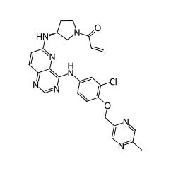 C=CC(=O)N1CC[C@H](Nc2ccc3ncnc(Nc4ccc(OCc5cnc(C)cn5)c(Cl)c4)c3n2)C1